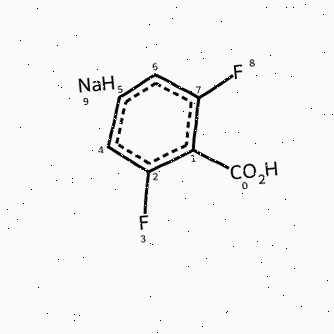 O=C(O)c1c(F)cccc1F.[NaH]